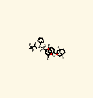 O=C(ON(c1nccs1)S(=O)(=O)c1cc(Cl)c(O[C@@H]2C[C@H]3CC[C@@H](C2)N3Cc2ccccc2)cc1F)C(F)(F)F